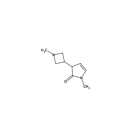 CN1CC(C2C=CN(C)C2=O)C1